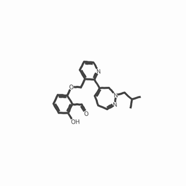 CC(C)CN1CC(c2ncccc2COc2cccc(O)c2C=O)=CCC=N1